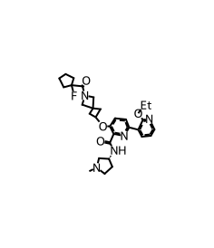 CCOc1ncccc1-c1ccc(OC2CC3(C2)CN(C(=O)C2(F)CCCC2)C3)c(C(=O)N[C@@H]2CCN(C)C2)n1